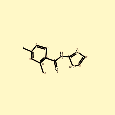 Cc1ccc(C(=O)Nc2ncco2)c(C)c1